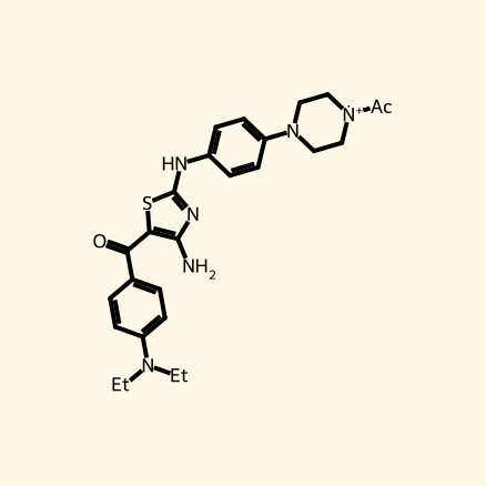 CCN(CC)c1ccc(C(=O)c2sc(Nc3ccc(N4CC[N+](C(C)=O)CC4)cc3)nc2N)cc1